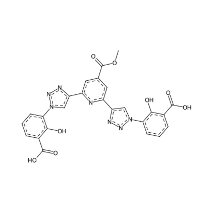 COC(=O)c1cc(-c2cn(-c3cccc(C(=O)O)c3O)nn2)nc(-c2cn(-c3cccc(C(=O)O)c3O)nn2)c1